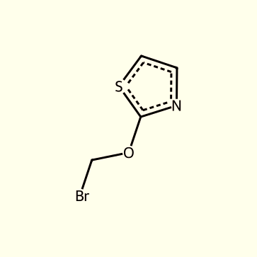 BrCOc1nccs1